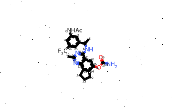 CC(=O)Nc1cc(C(C)Nc2nc(C)nc3c4c(c(OC(N)=O)cc23)CCC4)cc(C(F)(F)F)c1